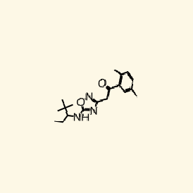 CCC(Nc1nc(CC(=O)c2cc(C)ccc2C)no1)C(C)(C)C